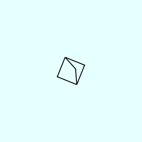 C1C2CC1C2